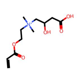 C=CC(=O)OCC[N+](C)(C)CC(O)CC(=O)O